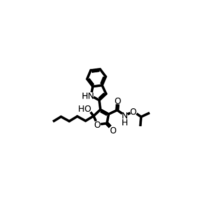 CCCCCC1(O)OC(=O)C(C(=O)NOC(C)C)=C1c1cc2ccccc2[nH]1